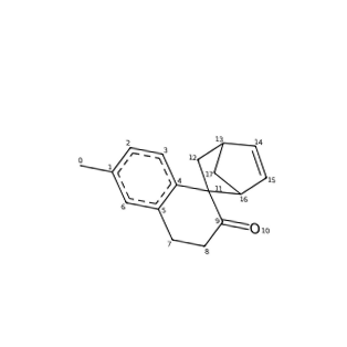 Cc1ccc2c(c1)CCC(=O)C21CC2C=CC1C2